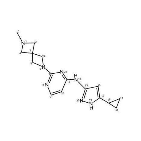 CN1CC2(C1)CN(c1nccc(Nc3cc(C4CC4)[nH]n3)n1)C2